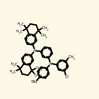 Cc1cc(Cl)cc(N(c2ccc(C(C)(C)C)cc2)c2cccc(N(c3ccc4c(c3)C(C)(C)CCC4(C)C)c3ccc4c(c3)C(C)(C)CCC4(C)C)c2)c1